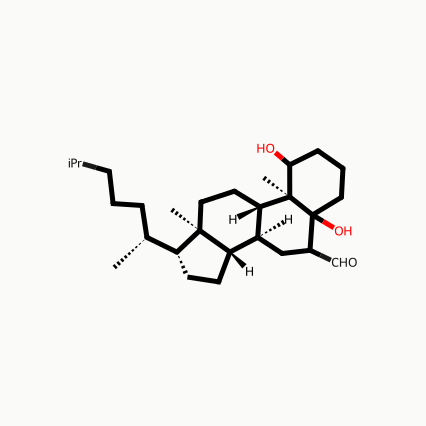 CC(C)CCC[C@@H](C)[C@H]1CC[C@H]2[C@@H]3CC(C=O)C4(O)CCCC(O)[C@]4(C)[C@H]3CC[C@]12C